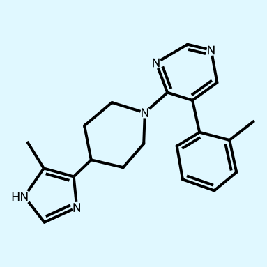 Cc1ccccc1-c1cncnc1N1CCC(c2nc[nH]c2C)CC1